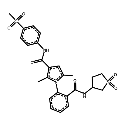 Cc1cc(C(=O)Nc2ccc(S(C)(=O)=O)cc2)c(C)n1-c1ccccc1C(=O)NC1CCS(=O)(=O)C1